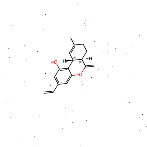 C=Cc1cc(O)c2c(c1)OC(=C)[C@@H]1CCC(C)=C[C@@H]21